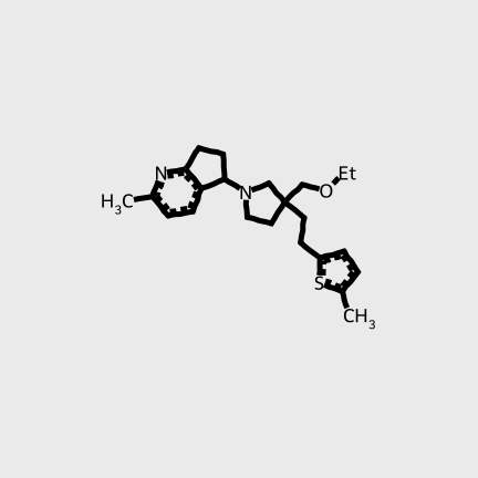 CCOCC1(CCc2ccc(C)s2)CCN(C2CCc3nc(C)ccc32)C1